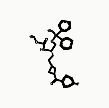 CC(C)(C)OC(=O)N[C@@H](CCN1CC(C(=O)c2ccc(F)cc2)C1)CO[Si](c1ccccc1)(c1ccccc1)C(C)(C)C